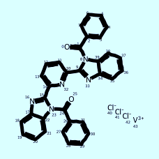 O=C(c1ccccc1)n1c(-c2cccc(-c3nc4ccccc4n3C(=O)c3ccccc3)n2)nc2ccccc21.[Cl-].[Cl-].[Cl-].[V+3]